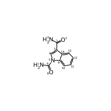 NC(=O)c1cn(C(N)=O)c2ccccc12